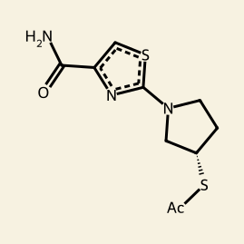 CC(=O)S[C@H]1CCN(c2nc(C(N)=O)cs2)C1